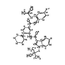 CC(C)(O)Cn1nc(C(=O)Nc2cc(C(=O)Nc3ccc(F)cc3CC(=O)O)ccc2N2CCCCC2)c2ccccc21